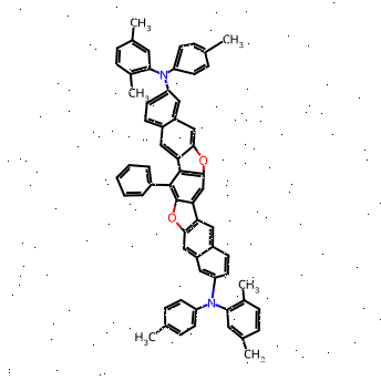 Cc1ccc(N(c2ccc3cc4c(cc3c2)oc2c(-c3ccccc3)c3c(cc24)oc2cc4cc(N(c5ccc(C)cc5)c5cc(C)ccc5C)ccc4cc23)c2cc(C)ccc2C)cc1